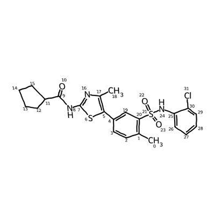 Cc1ccc(-c2sc(NC(=O)C3CCCC3)nc2C)cc1S(=O)(=O)Nc1ccccc1Cl